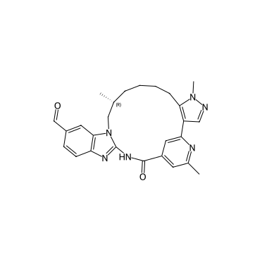 Cc1cc2cc(n1)-c1cnn(C)c1CCCC[C@@H](C)Cn1c(nc3ccc(C=O)cc31)NC2=O